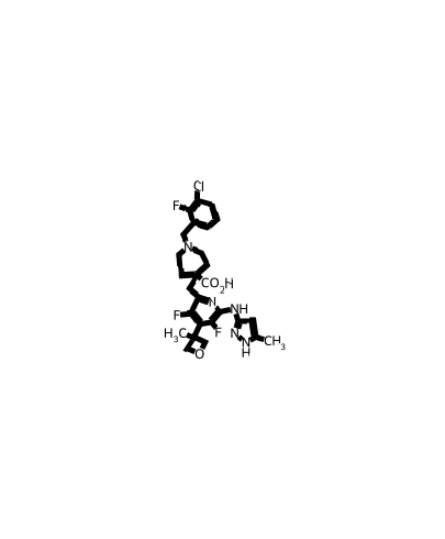 Cc1cc(Nc2nc(CC3(C(=O)O)CCN(Cc4cccc(Cl)c4F)CC3)c(F)c(C3(C)COC3)c2F)n[nH]1